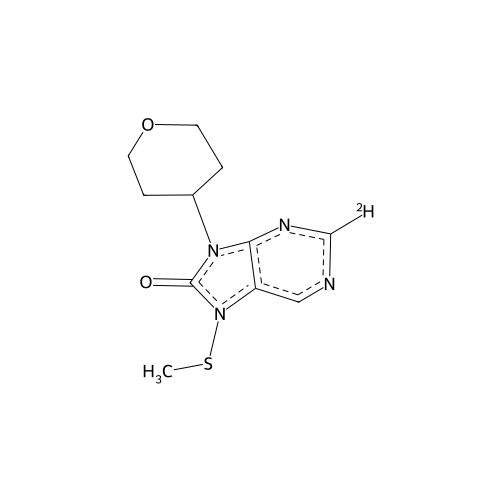 [2H]c1ncc2c(n1)n(C1CCOCC1)c(=O)n2SC